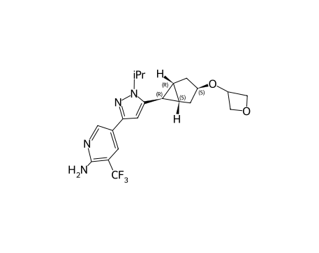 CC(C)n1nc(-c2cnc(N)c(C(F)(F)F)c2)cc1[C@H]1[C@@H]2C[C@@H](OC3COC3)C[C@@H]21